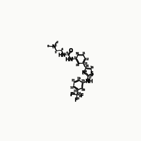 CN(C)CCNC(=O)Nc1cccc(-c2csc(Nc3cccc(C(F)(F)F)c3)n2)c1